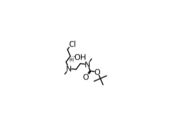 CN(CCN(C)C(=O)OC(C)(C)C)C[C@@H](O)CCl